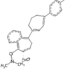 CC(=O)c1ccc(C2=CC=C(C3=c4ccccc4=C(ON(C)C)C(C=O)=CC3)CCC2)cc1